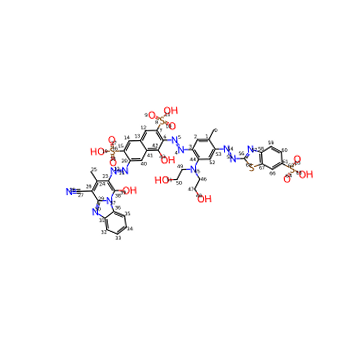 Cc1cc(N=Nc2c(S(=O)(=O)O)cc3cc(S(=O)(=O)O)c(N=Nc4c(C)c(C#N)c5nc6ccccc6n5c4O)cc3c2O)c(N(CCO)CCO)cc1N=Nc1nc2ccc(S(=O)(=O)O)cc2s1